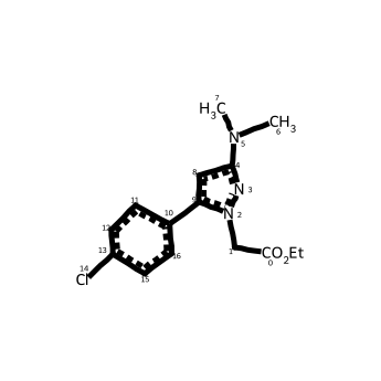 CCOC(=O)Cn1nc(N(C)C)cc1-c1ccc(Cl)cc1